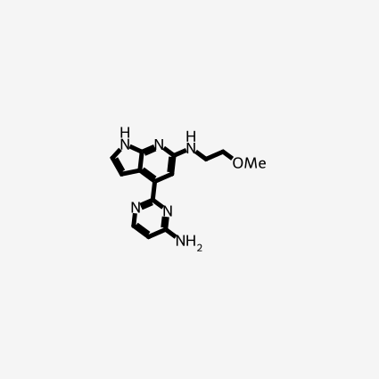 COCCNc1cc(-c2nccc(N)n2)c2cc[nH]c2n1